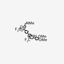 CNCC1CN(C(OC(=O)C(F)(F)F)c2ccc(-c3cc4n(n3)C(C(F)(F)F)CC(c3ccc(OC)c(OC)c3)N4)cc2)C1